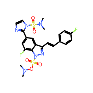 CN(C)OS(=O)(=O)n1nc(C=Cc2ccc(F)cc2)c2cc(-c3nccn3S(=O)(=O)N(C)C)cc(F)c21